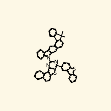 CC1(C)c2ccccc2-c2c1ccc1cc3c(cc21)c1ccccc1n3-c1nc(-c2ccc3sc4ccccc4c3c2)c2sc3ccc4ccccc4c3c2n1